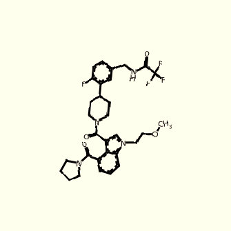 COCCn1cc(C(=O)N2CCC(c3cc(CNC(=O)C(F)(F)F)ccc3F)CC2)c2c(C(=O)N3CCCC3)cccc21